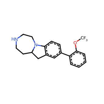 FC(F)(F)Oc1ccccc1-c1ccc2c(c1)CC1CCNCCN21